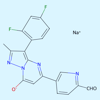 Cc1nn2c([O-])cc(-c3ccc(C=O)nc3)nc2c1-c1ccc(F)cc1F.[Na+]